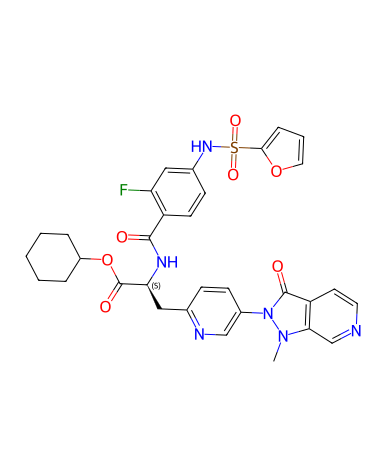 Cn1c2cnccc2c(=O)n1-c1ccc(C[C@H](NC(=O)c2ccc(NS(=O)(=O)c3ccco3)cc2F)C(=O)OC2CCCCC2)nc1